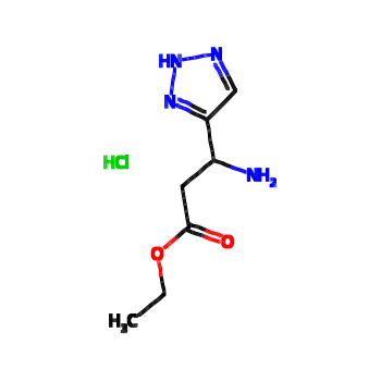 CCOC(=O)CC(N)c1cn[nH]n1.Cl